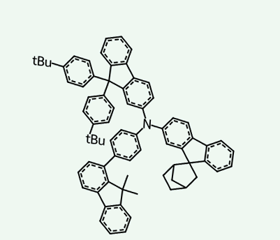 CC(C)(C)c1ccc(C2(c3ccc(C(C)(C)C)cc3)c3ccccc3-c3ccc(N(c4ccc(-c5cccc6c5C(C)(C)c5ccccc5-6)cc4)c4ccc5c(c4)C4(CC6CCC4C6)c4ccccc4-5)cc32)cc1